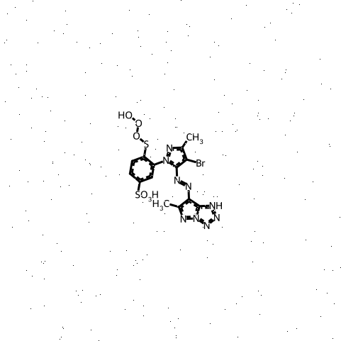 Cc1nn(-c2cc(S(=O)(=O)O)ccc2SOOO)c(N=Nc2c(C)nn3nn[nH]c23)c1Br